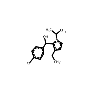 [CH2]Cc1ccn(C(C)C)c1C(O)c1ccc(Cl)cc1